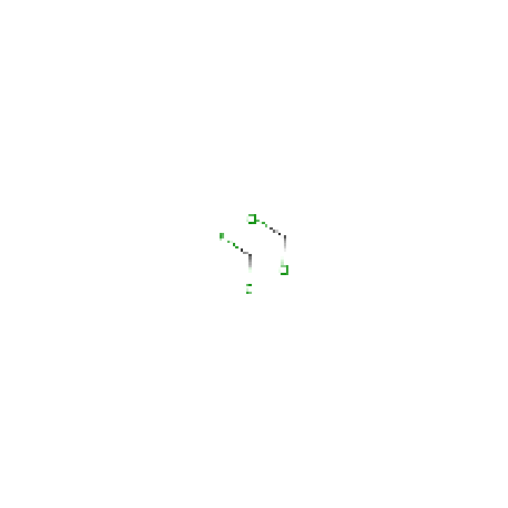 ClCCl.F[C]Cl